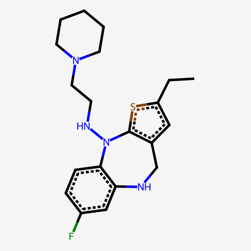 CCc1cc2c(s1)N(NCCN1CCCCC1)c1ccc(F)cc1NC2